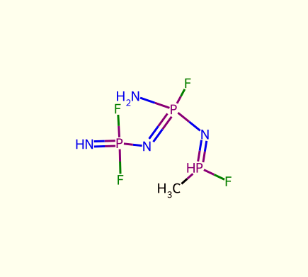 C/[PH](F)=N\P(N)(F)=NP(=N)(F)F